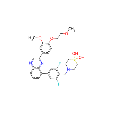 COCCOc1ccc(-c2cnc3cccc(-c4cc(F)c(CN5CCS(O)(O)CC5)c(F)c4)c3n2)cc1OC